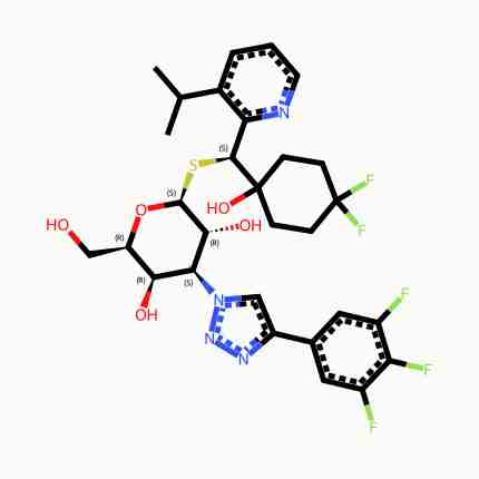 CC(C)c1cccnc1[C@H](S[C@@H]1O[C@H](CO)[C@H](O)[C@H](n2cc(-c3cc(F)c(F)c(F)c3)nn2)[C@H]1O)C1(O)CCC(F)(F)CC1